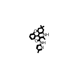 CC1=C(C(=O)Nc2ccc(C)cn2)C(c2ccccc2C)C2=C(CC(C)(C)CC2=O)N1